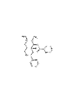 CS[C@@H]1OC2COC(c3ccccc3)O[C@H]2C(OC(=O)c2ccccc2)[C@@H]1C